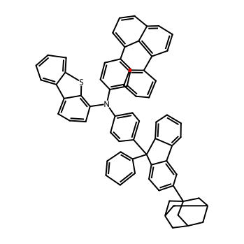 c1ccc(-c2cccc3cccc(-c4ccc(N(c5ccc(C6(c7ccccc7)c7ccccc7-c7cc(C89CC%10CC(CC(C%10)C8)C9)ccc76)cc5)c5cccc6c5sc5ccccc56)cc4)c23)cc1